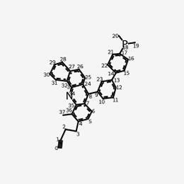 C#CCCc1ccc2c(-c3cccc(-c4ccc(P(C)C)cc4)c3)c3ccc4ccccc4c3nc2c1C